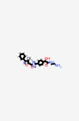 NCCNC(=O)C(O)c1ccc(-c2noc(-c3onc(-c4ccccc4)c3C(F)(F)F)n2)cc1